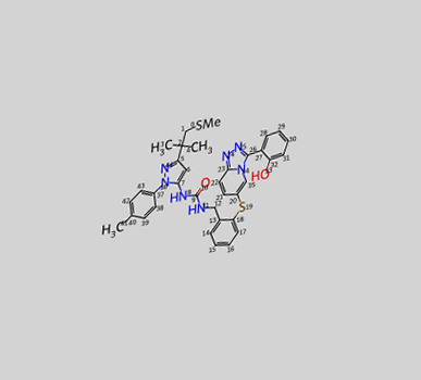 CSCC(C)(C)c1cc(NC(=O)NCc2ccccc2Sc2ccc3nnc(-c4ccccc4O)n3c2)n(-c2ccc(C)cc2)n1